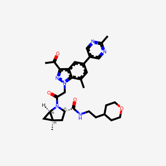 CC(=O)c1nn(CC(=O)N2[C@H](C(=O)NCCC3CCOCC3)C[C@@]3(C)C[C@@H]23)c2c(C)cc(-c3cnc(C)nc3)cc12